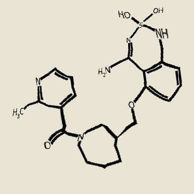 Cc1ncccc1C(=O)N1CCC[C@H](COc2cccc3c2C(N)=NS(O)(O)N3)C1